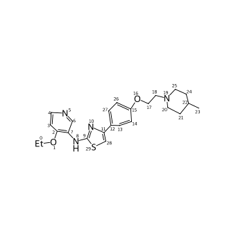 CCOc1ccncc1Nc1nc(-c2ccc(OCCN3CCC(C)CC3)cc2)cs1